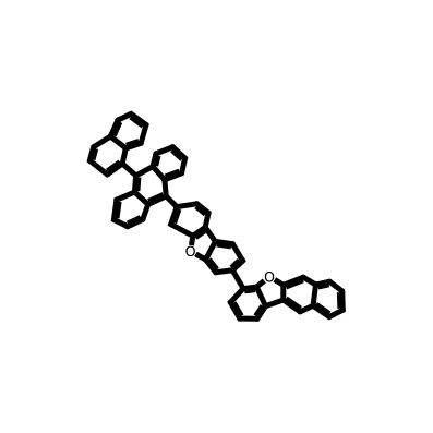 c1ccc2cc3c(cc2c1)oc1c(-c2ccc4c(c2)oc2cc(-c5c6ccccc6c(-c6cccc7ccccc67)c6ccccc56)ccc24)cccc13